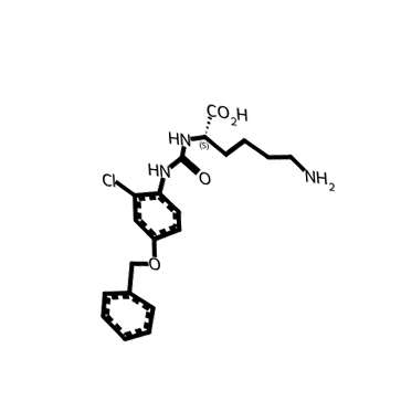 NCCCC[C@H](NC(=O)Nc1ccc(OCc2ccccc2)cc1Cl)C(=O)O